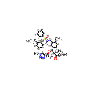 CCn1cc(CO[C@H](c2ccc(C)c(CN(Cc3cccc(C(=O)O)c3)S(=O)(=O)c3ccccc3)c2)C(C)(C)C(=O)OC)nn1